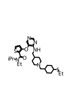 CCSC1CCC(CN2CCC(CNc3ncncc3Oc3ccsc3C(=O)N(CC)C(C)C)CC2)CC1